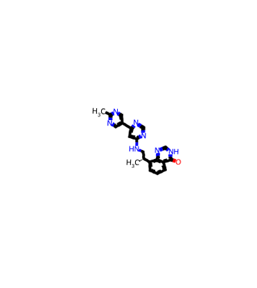 Cc1ncc(-c2cc(NC[C@@H](C)c3cccc4c(=O)[nH]cnc34)ncn2)cn1